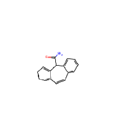 NC(=O)C1C2=CCCC=C2C=Cc2ccccc21